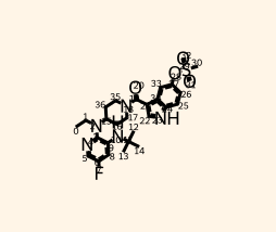 CCN(c1ncc(F)cc1NC(C)(C)C)C1CCN(C(=O)c2c[nH]c3ccc(OS(C)(=O)=O)cc23)CC1